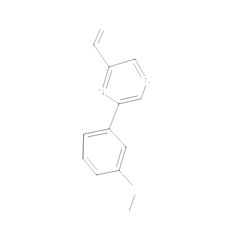 COc1cccc(-c2cncc(C=O)n2)c1